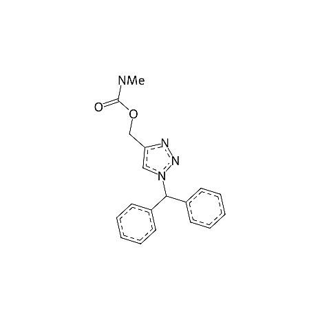 CNC(=O)OCc1cn(C(c2ccccc2)c2ccccc2)nn1